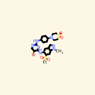 CCS(=O)(=O)c1cc2c(cnn2C)cc1Nc1nc(Nc2ccc(N3CCS(=O)(=O)CC3)cc2)ncc1Br